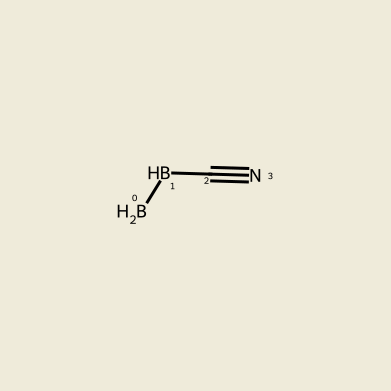 BBC#N